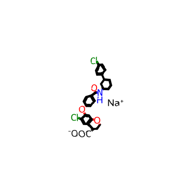 O=C(NC1CCCC(c2ccc(Cl)cc2)C1)c1ccc(Oc2cc3c(cc2Cl)C(C(=O)[O-])CCO3)cc1.[Na+]